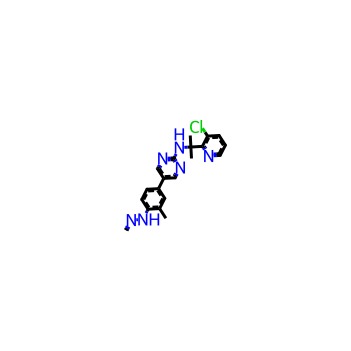 C=NNc1ccc(-c2cnc(NC(C)(C)c3ncccc3Cl)nc2)cc1C